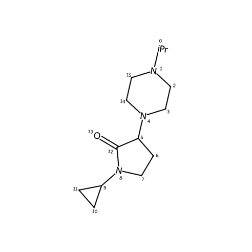 CC(C)N1CCN(C2CCN(C3CC3)C2=O)CC1